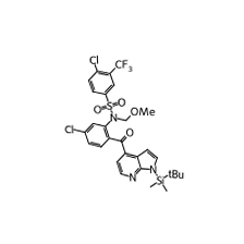 COCN(c1cc(Cl)ccc1C(=O)c1ccnc2c1ccn2[Si](C)(C)C(C)(C)C)S(=O)(=O)c1ccc(Cl)c(C(F)(F)F)c1